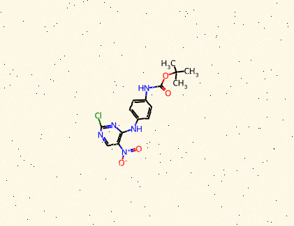 CC(C)(C)OC(=O)Nc1ccc(Nc2nc(Cl)ncc2[N+](=O)[O-])cc1